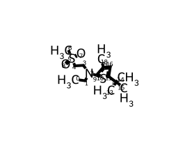 CCN(CCS(C)(=O)=O)c1sc(C(C)(C)C)cc1C